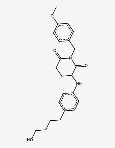 COc1ccc(CN2C(=O)CCC(Nc3ccc(CCCCO)cc3)C2=O)cc1